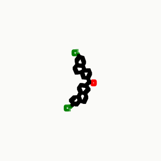 O=C(c1ccc2c(ccc3cc(Cl)ccc32)c1)c1ccc2c(ccc3cc(Cl)ccc32)c1